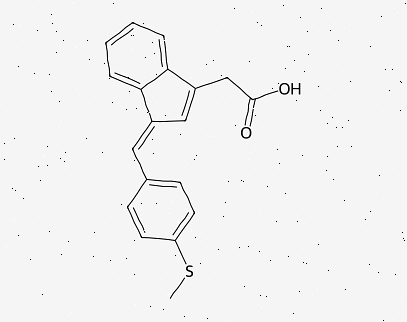 CSc1ccc(C=C2C=C(CC(=O)O)c3ccccc32)cc1